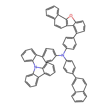 c1ccc(-n2c3ccccc3c3ccccc32)c(-c2ccc(N(c3ccc(-c4ccc5ccccc5c4)cc3)c3ccc(-c4cccc5oc6c7ccccc7ccc6c45)cc3)cc2)c1